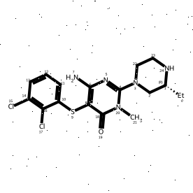 CC[C@@H]1CN(c2nc(N)c(Sc3cccc(Cl)c3Cl)c(=O)n2C)CCN1